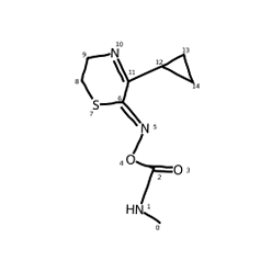 CNC(=O)ON=C1SCCN=C1C1CC1